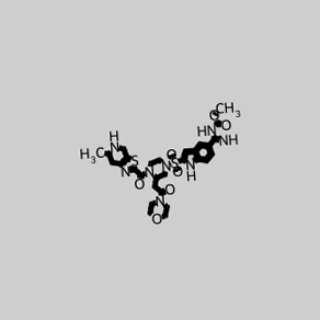 COC(=O)NC(=N)c1ccc2[nH]c(S(=O)(=O)N3CCN(C(=O)c4nc5c(s4)CNC(C)C5)C(CC(=O)N4CCOCC4)C3)cc2c1